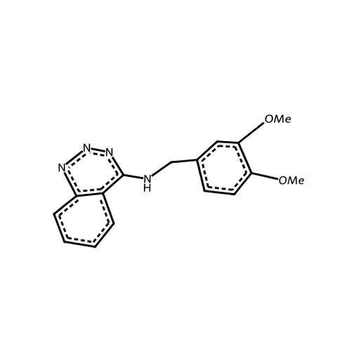 COc1ccc(CNc2nnnc3ccccc23)cc1OC